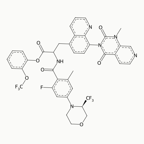 Cc1cc(N2CCOC[C@@H]2C(F)(F)F)cc(F)c1C(=O)NC(Cc1ccc(-n2c(=O)c3ccncc3n(C)c2=O)c2ncccc12)C(=O)Oc1ccccc1OC(F)(F)F